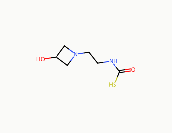 O=C(S)NCCN1CC(O)C1